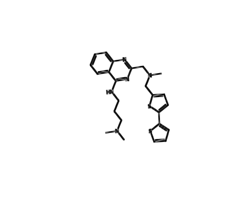 CN(C)CCCNc1nc(CN(C)Cc2ccc(-c3cccs3)s2)nc2ccccc12